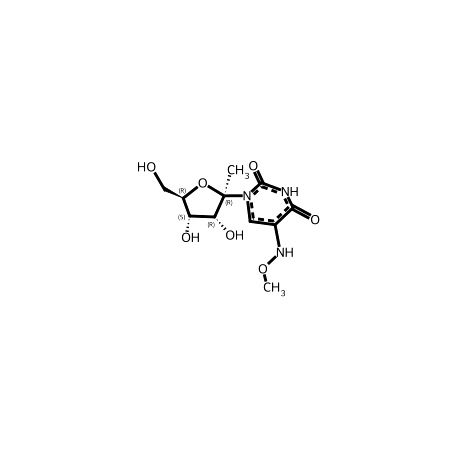 CONc1cn([C@]2(C)O[C@H](CO)[C@@H](O)[C@H]2O)c(=O)[nH]c1=O